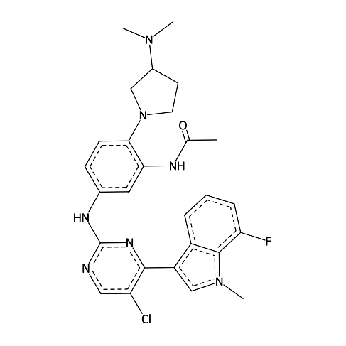 CC(=O)Nc1cc(Nc2ncc(Cl)c(-c3cn(C)c4c(F)cccc34)n2)ccc1N1CCC(N(C)C)C1